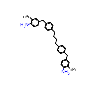 CCCc1cc(Cc2ccc(CCCCc3ccc(Cc4ccc(N)c(CCC)c4)cc3)cc2)ccc1N